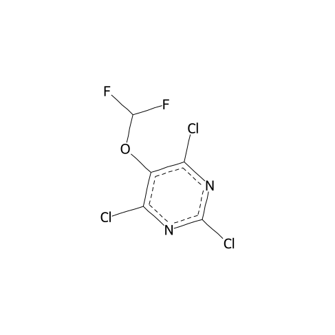 FC(F)Oc1c(Cl)nc(Cl)nc1Cl